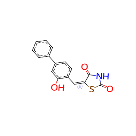 O=C1NC(=O)/C(=C\c2ccc(-c3ccccc3)cc2O)S1